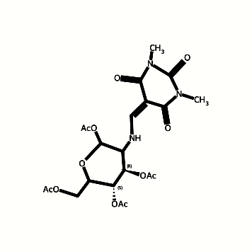 CC(=O)OCC1OC(OC(C)=O)C(NC=C2C(=O)N(C)C(=O)N(C)C2=O)[C@@H](OC(C)=O)[C@@H]1OC(C)=O